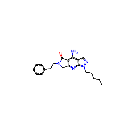 CCCCCn1ncc2c(N)c3c(nc21)CN(CCc1ccccc1)C3=O